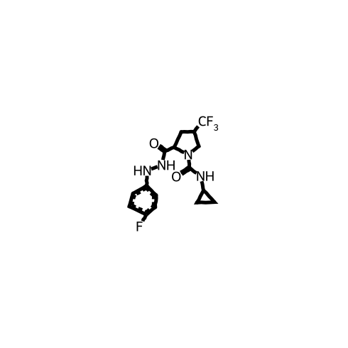 O=C(NNc1ccc(F)cc1)C1CC(C(F)(F)F)CN1C(=O)NC1CC1